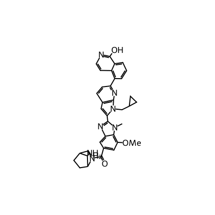 COc1cc(C(=O)N2CC3CCC2[C@@H]3N)cc2nc(-c3cc4ccc(-c5cccc6c(O)nccc56)nc4n3CC3CC3)n(C)c12